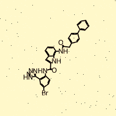 O=C(Cc1ccc(-c2ccccc2)cc1)Nc1cccc2cc(C(=O)Nc3ccc(Br)cc3-c3nnn[nH]3)[nH]c12